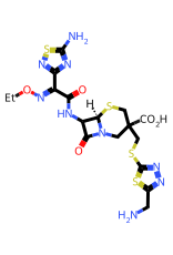 CCON=C(C(=O)NC1C(=O)N2CC(CSc3nnc(CN)s3)(C(=O)O)CS[C@H]12)c1nsc(N)n1